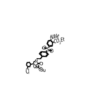 CCOC(=O)c1cc(S(=O)(=O)c2ccc(CCN(C[C@@H](O)c3cccc(Cl)c3)C(=O)OC(C)(C)C)cc2)ccc1NC